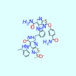 CCc1ccccc1Nc1c(C(N)=O)cnc2sc(Oc3ccc(C(N)=O)cc3)nc12.CCc1ccccc1Nc1c(C(N)=O)cnc2sc([S+](C)[O-])nc12